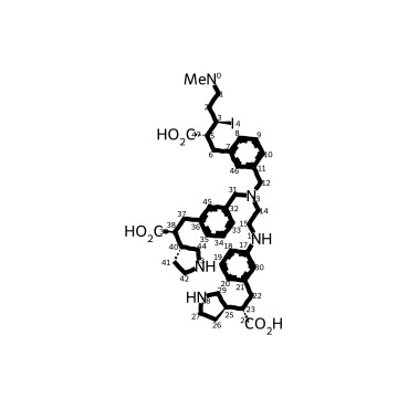 CNCC[C@@H](I)[C@H](Cc1cccc(CN(CCNc2cccc(C[C@H](C(=O)O)[C@H]3CCNC3)c2)Cc2cccc(C[C@H](C(=O)O)[C@H]3CCNC3)c2)c1)C(=O)O